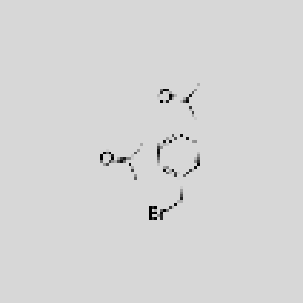 BrCc1ccccc1.CC(C)=O.CC(C)=O